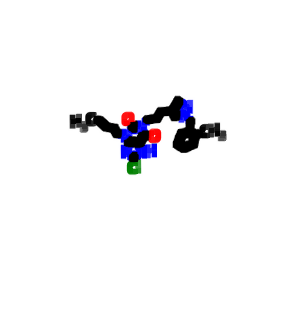 CCCCCn1c(=O)n(CCCc2cnn(Cc3ccccc3C)c2)c(=O)c2[nH]c(Cl)nc21